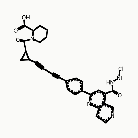 O=C(NNCl)c1cc(-c2ccc(C#CC#CC3CC3C(=O)N3CCCCC3C(=O)O)cc2)nc2ccncc12